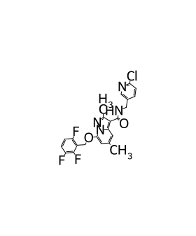 Cc1cc(OCc2c(F)ccc(F)c2F)n2nc(C)c(C(=O)NCc3ccc(Cl)nc3)c2c1